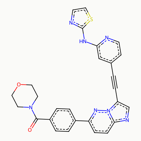 O=C(c1ccc(-c2ccc3ncc(C#Cc4ccnc(Nc5nccs5)c4)n3n2)cc1)N1CCOCC1